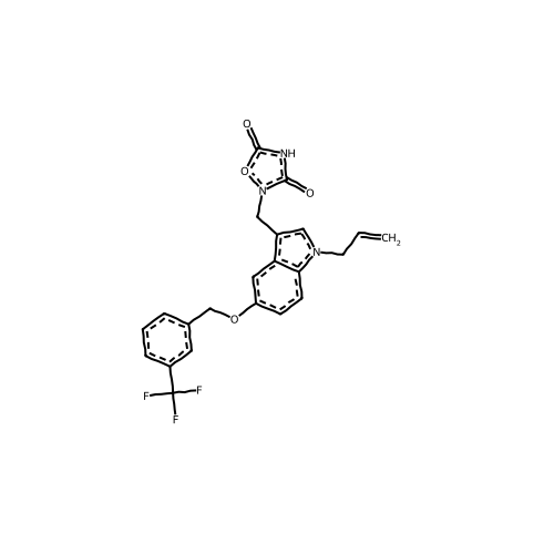 C=CCn1cc(Cn2oc(=O)[nH]c2=O)c2cc(OCc3cccc(C(F)(F)F)c3)ccc21